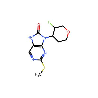 CSc1ncc2[nH]c(=O)n(C3CCOCC3F)c2n1